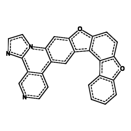 c1ccc2c(c1)oc1ccc3oc4cc5c(cc4c3c12)c1ccncc1c1nccn51